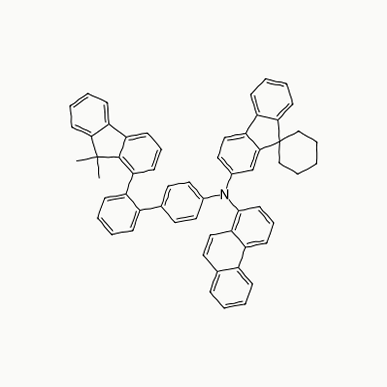 CC1(C)c2ccccc2-c2cccc(-c3ccccc3-c3ccc(N(c4ccc5c(c4)C4(CCCCC4)c4ccccc4-5)c4cccc5c4ccc4ccccc45)cc3)c21